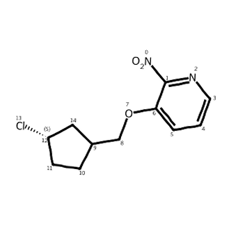 O=[N+]([O-])c1ncccc1OCC1CC[C@H](Cl)C1